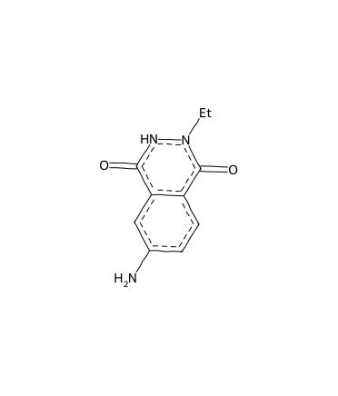 CCn1[nH]c(=O)c2cc(N)ccc2c1=O